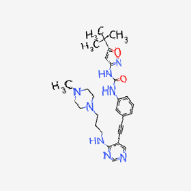 CN1CCN(CCCNc2ncncc2C#Cc2cccc(NC(=O)Nc3cc(C(C)(C)C)on3)c2)CC1